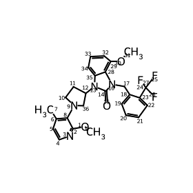 COc1nccc(C)c1N1CCC(n2c(=O)n(Cc3ccccc3C(F)(F)F)c3c(OC)cccc32)C1